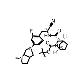 CN1CCC2CN(c3ccc(C[C@@H](C#N)NC(=O)[C@@H]4[C@H]5CC[C@H](C5)N4C(=O)OC(C)(C)C)c(F)c3)CC21